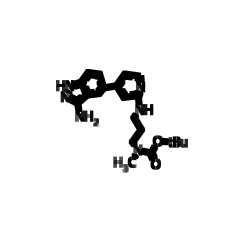 CN(CCCNc1cc(-c2ccc3[nH]nc(N)c3c2)ccn1)C(=O)OC(C)(C)C